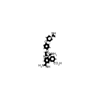 CC(=N)N1CCC(Oc2ccc(OCc3nc4cc(C(=N)N)ccc4n3C(N)(C(C)=O)[C@H]3CC[C@H](C(=O)O)CC3)cc2)CC1